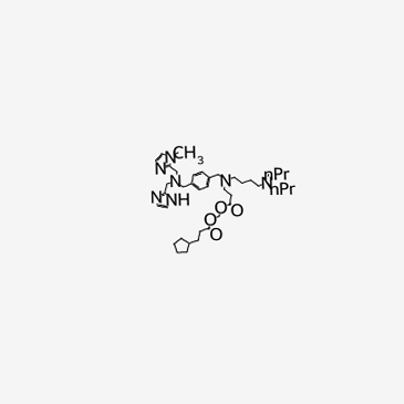 CCCN(CCC)CCCCN(CCC(=O)OCOC(=O)CCC1CCCC1)Cc1ccc(CN(Cc2ncc[nH]2)Cc2nccn2C)cc1